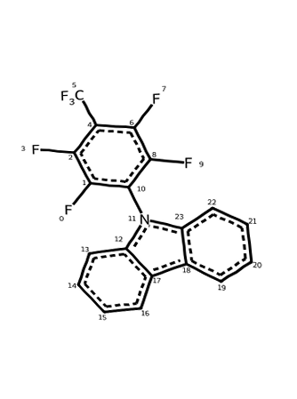 Fc1c(F)c(C(F)(F)F)c(F)c(F)c1-n1c2ccccc2c2ccccc21